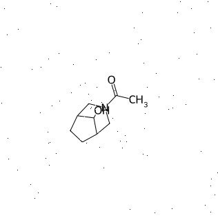 CC(=O)N1CC2CCC(C1)C2O